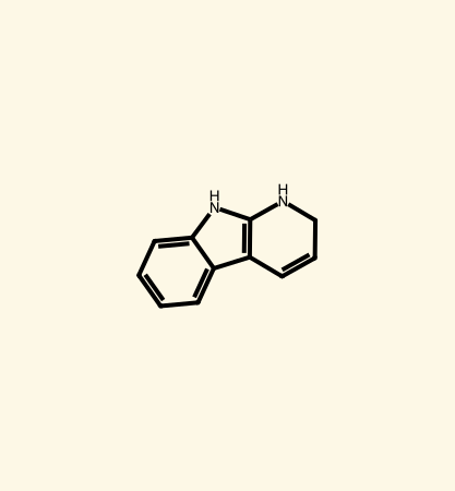 C1=Cc2c([nH]c3ccccc23)NC1